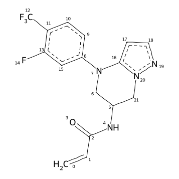 C=CC(=O)NC1CN(c2ccc(C(F)(F)F)c(F)c2)c2ccnn2C1